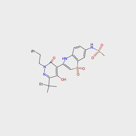 CCC(C)(C)c1nn(CCC(C)C)c(=O)c(C2=CS(=O)(=O)c3cc(NS(C)(=O)=O)ccc3N2)c1O